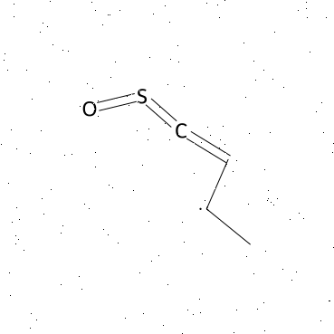 C[CH]C=C=S=O